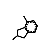 Cc1cccc2c1CC(C)C2